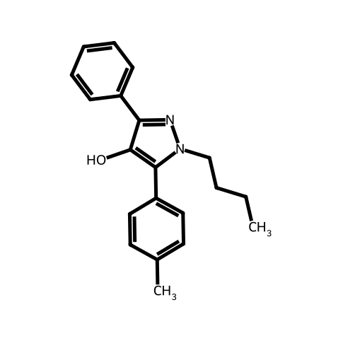 CCCCn1nc(-c2ccccc2)c(O)c1-c1ccc(C)cc1